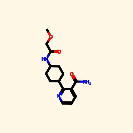 COCC(=O)NC1CCC(c2ncccc2C(N)=O)CC1